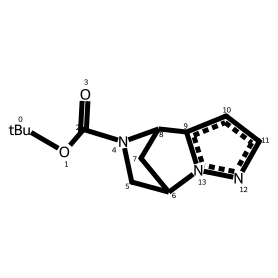 CC(C)(C)OC(=O)N1CC2CC1c1ccnn12